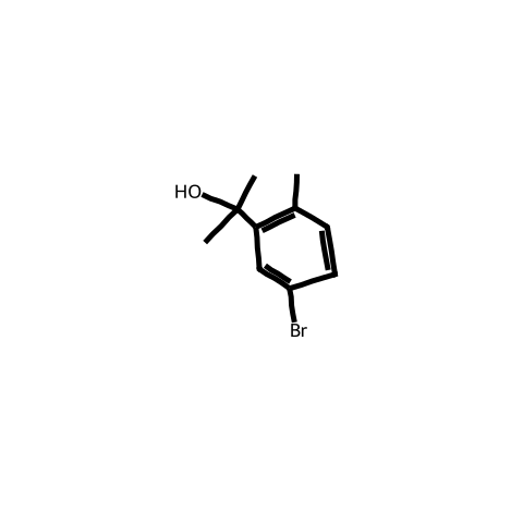 Cc1ccc(Br)cc1C(C)(C)O